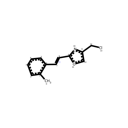 Cc1ccccc1/C=C/c1nc(CCl)co1